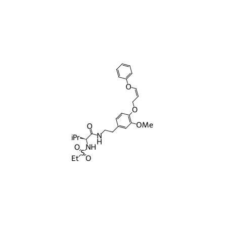 CCS(=O)(=O)N[C@H](C(=O)NCCc1ccc(OC/C=C\Oc2ccccc2)c(OC)c1)C(C)C